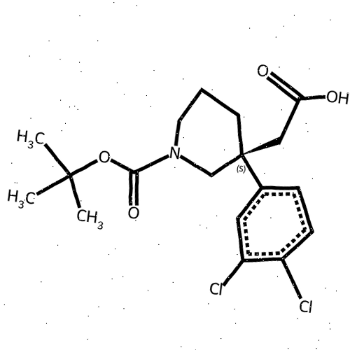 CC(C)(C)OC(=O)N1CCC[C@](CC(=O)O)(c2ccc(Cl)c(Cl)c2)C1